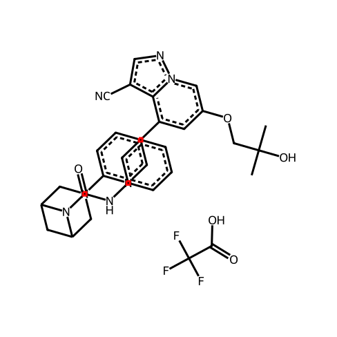 CC(C)(O)COc1cc(-c2ccc(N3CC4CC(C3)N4C(=O)Nc3ccccc3)nc2)c2c(C#N)cnn2c1.O=C(O)C(F)(F)F